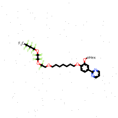 CCCCCCOc1cc(-c2ncccn2)ccc1OCCCCCCCOCC(F)(F)OC(F)(F)C(F)(F)OC(F)(F)C(F)(F)C(F)(F)C(F)(F)F